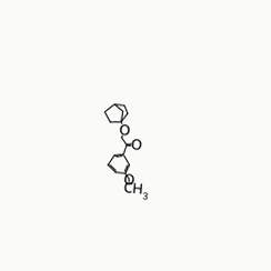 COc1cccc(C(=O)COC23CCC(CC2)C3)c1